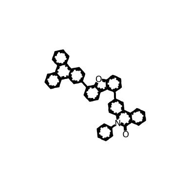 O=c1c2ccccc2c2cc(-c3cccc4oc5c(-c6ccc7c8ccccc8c8ccccc8c7c6)cccc5c34)ccc2n1-c1ccccc1